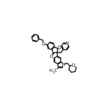 Cc1cn(CC2CCCCO2)c2cc(C3(Cc4ccncc4)C(=O)c4ccc(OCc5ccccc5)cc4C3=O)ccc12